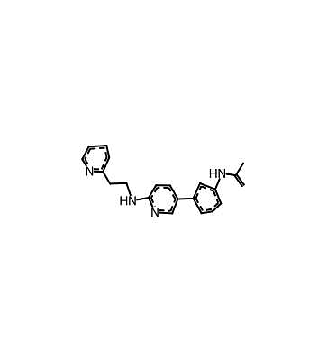 C=C(C)Nc1cccc(-c2ccc(NCCc3ccccn3)nc2)c1